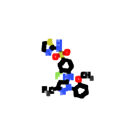 COc1ccccc1-n1nc(C)cc1Nc1ccc(S(=O)(=O)Nc2nccs2)cc1F